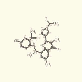 Cc1cc([C@@H](C)Nc2ccc(Cl)nc2C(N)=O)c2oc(-c3cnn(C(C)F)c3)c(C)c(=O)c2c1